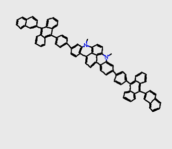 CN1c2cc(-c3ccc(-c4c5ccccc5c(-c5ccc6ccccc6c5)c5ccccc45)cc3)ccc2-c2ccc3c4c(ccc1c24)N(C)c1cc(-c2ccc(-c4c5ccccc5c(-c5ccc6ccccc6c5)c5ccccc45)cc2)ccc1-3